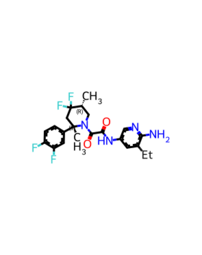 CCc1cc(NC(=O)C(=O)N2C[C@@H](C)C(F)(F)C[C@@]2(C)c2ccc(F)c(F)c2)cnc1N